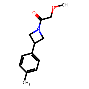 COCC(=O)N1CC(c2ccc(C)cc2)C1